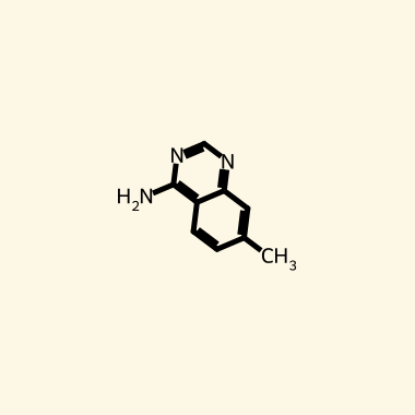 Cc1ccc2c(N)ncnc2c1